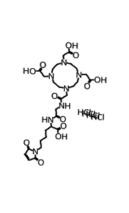 Cl.Cl.Cl.Cl.O=C(O)CN1CCN(CC(=O)O)CCN(CC(=O)NCC(=O)NC(CCCCN2C(=O)C=CC2=O)C(=O)O)CCN(CC(=O)O)CC1